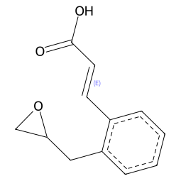 O=C(O)/C=C/c1ccccc1CC1CO1